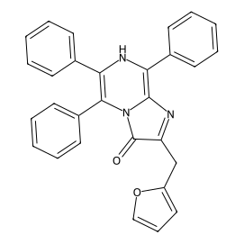 O=c1c(Cc2ccco2)nc2c(-c3ccccc3)[nH]c(-c3ccccc3)c(-c3ccccc3)n1-2